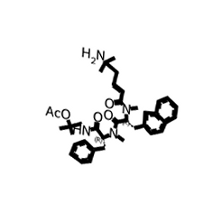 CC(=O)OC(C)(C)CNC(=O)[C@@H](Cc1ccccc1)N(C)C(=O)[C@@H](Cc1ccc2ccccc2c1)N(C)C(=O)C=CCC(C)(C)N